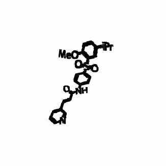 COc1ccc(C(C)C)cc1S(=O)(=O)c1ccc(NC(=O)/C=C/c2cccnc2)cc1